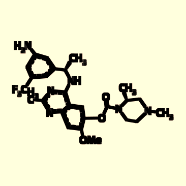 COc1cc2nc(C)nc(N[C@H](C)c3cc(N)cc(C(F)(F)F)c3)c2cc1OC(=O)N1CCN(C)C[C@@H]1C